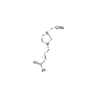 COC[C@H]1CCN(C/C=C/C(=O)C(C)C)C1